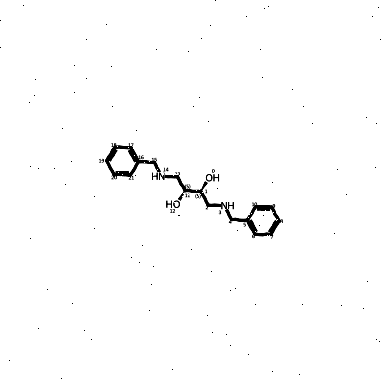 O[C@@H](CNCc1ccccc1)[C@@H](O)CNCc1ccccc1